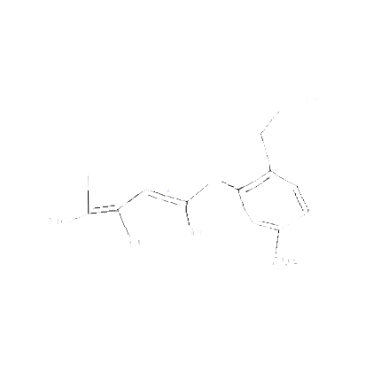 CCOC(=O)Cc1ccc(OC)cc1O/C(=C/C(Br)=C(\C)O)C(C)C